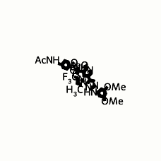 COc1cc(Nc2ncc(-c3cnc(OC)c(C(=O)NS(=O)(=O)c4ccc(CNC(C)=O)cc4)c3)c(-n3nc(C(F)(F)F)cc3C)n2)cc(OC)c1